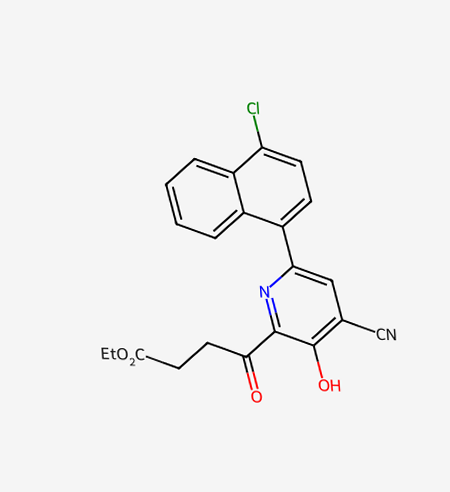 CCOC(=O)CCC(=O)c1nc(-c2ccc(Cl)c3ccccc23)cc(C#N)c1O